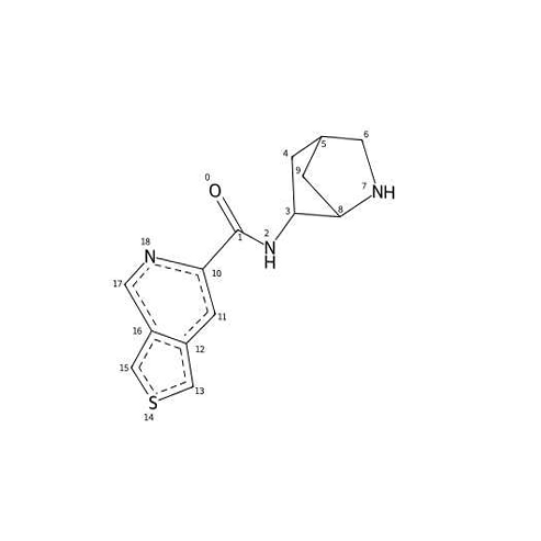 O=C(NC1CC2CNC1C2)c1cc2cscc2cn1